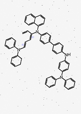 C=C/C(=C\C=C\N(C1=CC=CCC1)c1ccccc1)N(c1ccc(-c2ccc(Nc3ccc(N(c4ccccc4)c4ccccc4)cc3)cc2)cc1)c1cccc2ccccc12